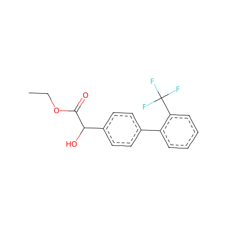 CCOC(=O)C(O)c1ccc(-c2ccccc2C(F)(F)F)cc1